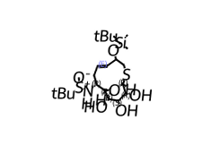 CC(C)(C)[S+]([O-])N[C@@H]1C/C=C/C(O[Si](C)(C)C(C)(C)C)CS[C@H]2O[C@H]1[C@H](O)[C@H](O)[C@H]2O